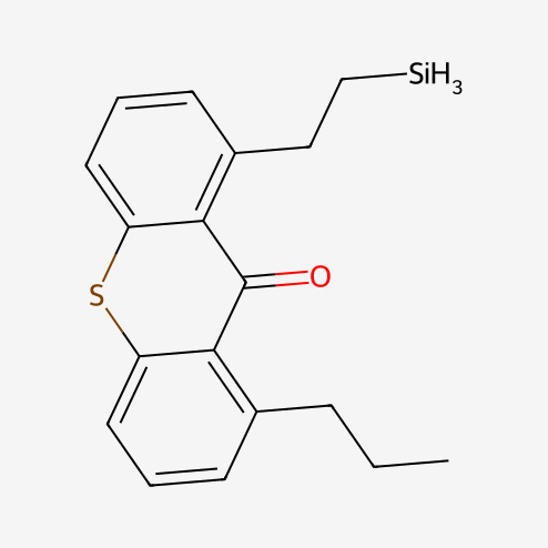 CCCc1cccc2sc3cccc(CC[SiH3])c3c(=O)c12